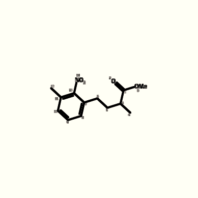 COC(=O)C(C)CCc1cccc(C)c1[N+](=O)[O-]